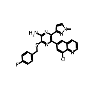 Cn1ccc(-c2nc(N)c(SCc3ccc(F)cc3)nc2-c2cc(Cl)c3ncccc3c2)n1